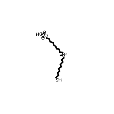 C[N+](C)(CCCCCCCCCCS)CCCCCCCCCCOP(=O)([O-])O